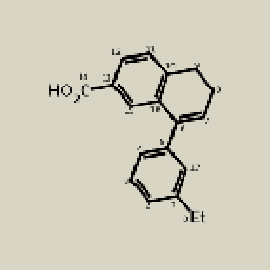 CCc1cccc(C2=CCCc3ccc(C(=O)O)cc32)c1